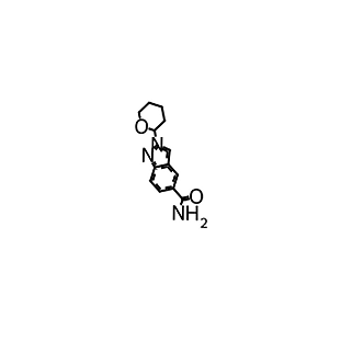 NC(=O)c1ccc2nn(C3CCCCO3)cc2c1